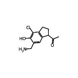 CC(=O)C1CCc2c1cc(CN)c(O)c2Cl